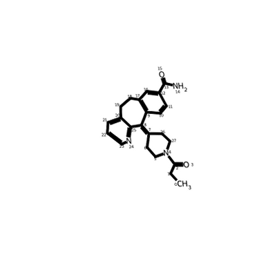 CCC(=O)N1CCC(=C2c3ccc(C(N)=O)cc3CCc3cccnc32)CC1